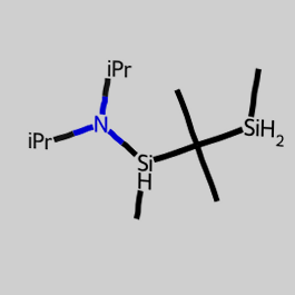 C[SiH2]C(C)(C)[SiH](C)N(C(C)C)C(C)C